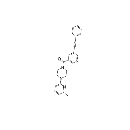 Cc1cccc(N2CCN(C(=O)c3cncc(C#Cc4ccccc4)c3)CC2)n1